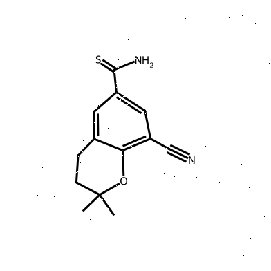 CC1(C)CCc2cc(C(N)=S)cc(C#N)c2O1